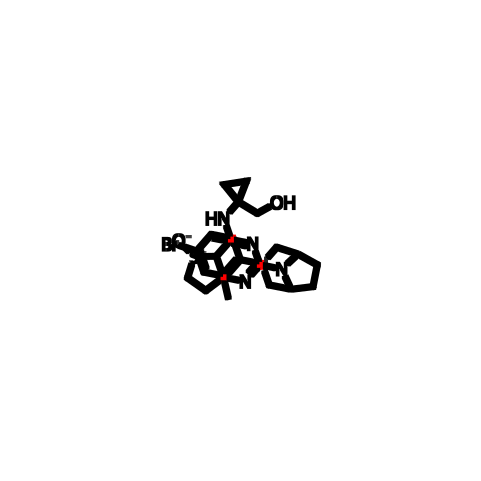 CC12CC[S+]([O-])C1C(NC1(CO)CC1)=NC(N1C3CCC1CN(c1ccc(Br)cc1)C3)=N2